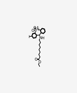 CCOC(=O)CCCCCCCCNC1c2ccccc2N(C)S(=O)(=O)c2cc(I)ccc21